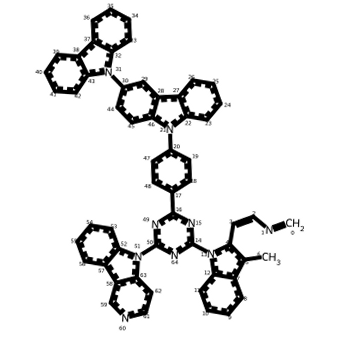 C=N/C=C\c1c(C)c2ccccc2n1-c1nc(-c2ccc(-n3c4ccccc4c4cc(-n5c6ccccc6c6ccccc65)ccc43)cc2)nc(-n2c3ccccc3c3cnccc32)n1